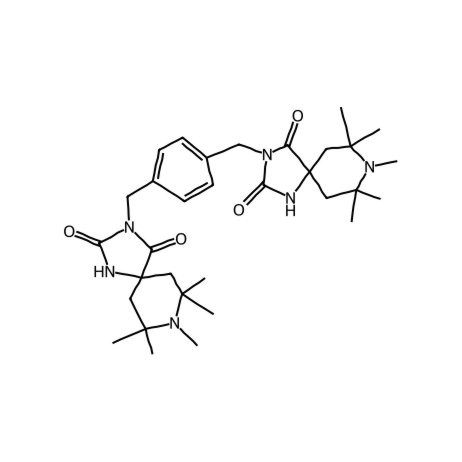 CN1C(C)(C)CC2(CC1(C)C)NC(=O)N(Cc1ccc(CN3C(=O)NC4(CC(C)(C)N(C)C(C)(C)C4)C3=O)cc1)C2=O